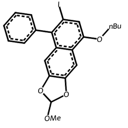 CCCCOc1cc(I)c(-c2ccccc2)c2cc3c(cc12)OC(OC)O3